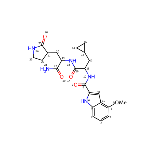 COc1cccc2[nH]c(C(=O)NC(CC3CC3)C(=O)NC(CC3CCNC3=O)C(N)=O)cc12